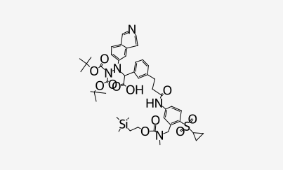 CN(Cc1cc(NC(=O)CCc2cccc(C(C(=O)O)N(c3ccc4cnccc4c3)N(C(=O)OC(C)(C)C)C(=O)OC(C)(C)C)c2)ccc1S(=O)(=O)C1CC1)C(=O)OCC[Si](C)(C)C